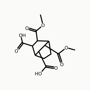 COC(=O)C1C2CCC(C1C(=O)O)C(C(=O)O)C2C(=O)OC